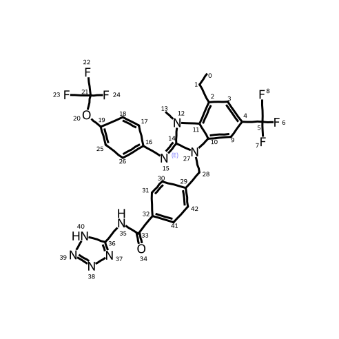 CCc1cc(C(F)(F)F)cc2c1n(C)/c(=N\c1ccc(OC(F)(F)F)cc1)n2Cc1ccc(C(=O)Nc2nnn[nH]2)cc1